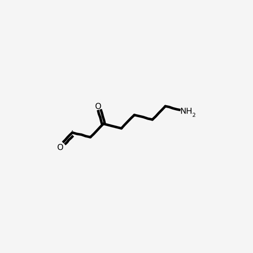 NCCCCC(=O)C[C]=O